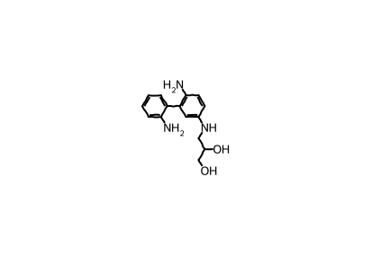 Nc1ccccc1-c1cc(NCC(O)CO)ccc1N